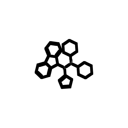 C1=CC[C]([Zr]([CH]2c3ccccc3-c3ccccc32)[SiH](C2CCCCC2)C2CCCCC2)=C1